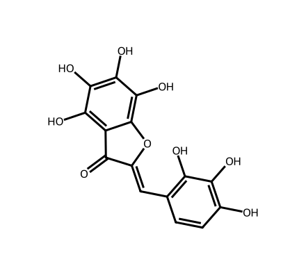 O=C1/C(=C/c2ccc(O)c(O)c2O)Oc2c(O)c(O)c(O)c(O)c21